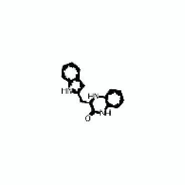 O=C1Nc2ccccc2N[C@@H]1Cc1cc2ccccc2[nH]1